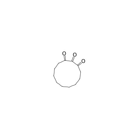 O=C1CCCCCCCCCC(=O)C1=O